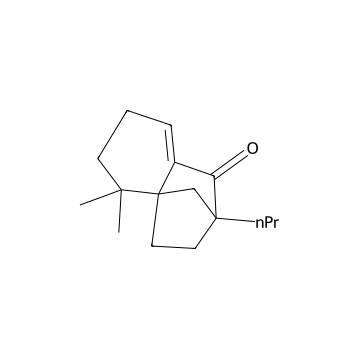 CCCC12CCC3(C1)C(=CCCC3(C)C)C2=O